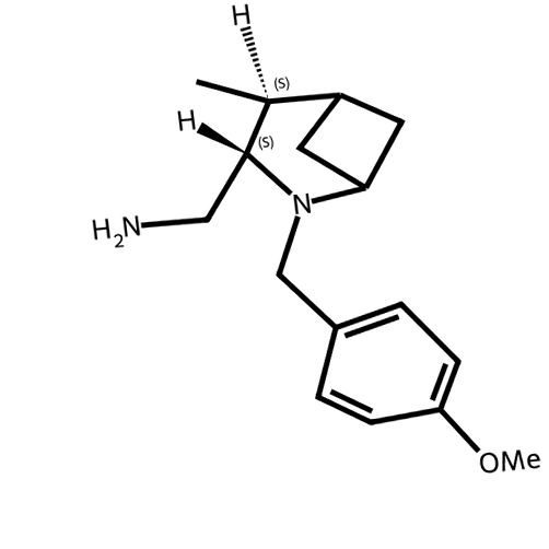 COc1ccc(CN2C3CC(C3)[C@H](C)[C@H]2CN)cc1